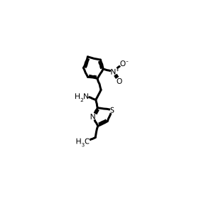 CCc1csc(C(N)Cc2ccccc2[N+](=O)[O-])n1